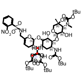 CN(C(=O)OC(C)(C)C)[C@@H]1[C@@H](O)[C@@H](O[C@@H]2[C@@H](O)[C@H](O[C@H]3OC(CNS(=O)(=O)c4ccccc4[N+](=O)[O-])=CC[C@H]3N/C(=N/C(=O)OC(C)(C)C)NC(=O)OC(C)(C)C)[C@@H](NC(=O)OC(C)(C)C)C[C@H]2NC(=O)OC(C)(C)C)OC[C@]1(C)O